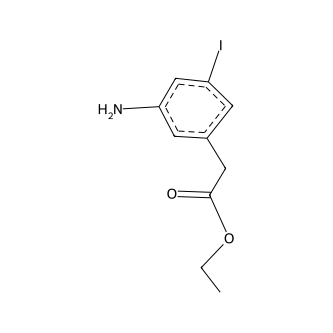 CCOC(=O)Cc1cc(N)cc(I)c1